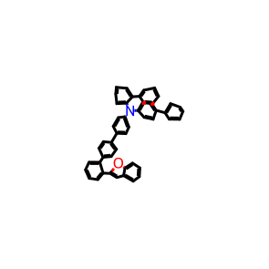 c1ccc(-c2ccc(N(c3ccc(-c4ccc(-c5ccccc5-c5cc6ccccc6o5)cc4)cc3)c3ccccc3-c3ccccc3)cc2)cc1